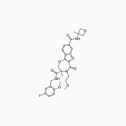 COCCN1C(=O)c2oc3cc(C(=O)NC4(C)COC4)ccc3c2OCC1(C)C(=O)NCc1cc(F)ccc1OC